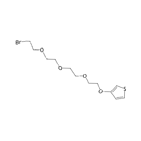 BrCCOCCOCCOCCOc1ccsc1